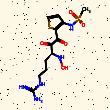 CS(=O)(=O)Nc1ccsc1C(=O)C(=O)[C@H](CCCNC(=N)N)NO